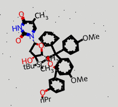 CCCOc1cccc(COC([C@H]2O[C@@H](n3cc(C)c(=O)[nH]c3=O)C[C@@]2(O)[Si](C)(C)C(C)(C)C)C(c2ccccc2)(c2ccc(OC)cc2)c2ccc(OC)cc2)c1